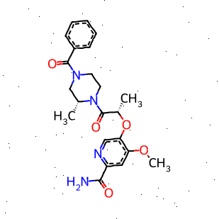 COc1cc(C(N)=O)ncc1O[C@@H](C)C(=O)N1CCN(C(=O)c2ccccc2)C[C@H]1C